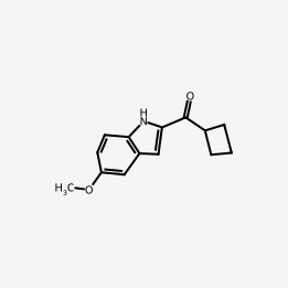 COc1ccc2[nH]c(C(=O)C3CCC3)cc2c1